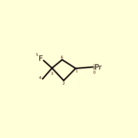 CC(C)C1CC(C)(F)C1